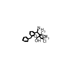 CC1(C)C(C(C#N)c2cccc(Cc3ccccc3)c2)C1(C=C(Cl)Cl)C(=O)O